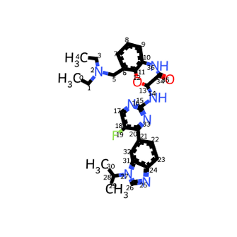 CCN(CC)Cc1cccc2c1OC(Nc1ncc(F)c(-c3ccc4ncn(C(C)C)c4c3)n1)C(=O)N2